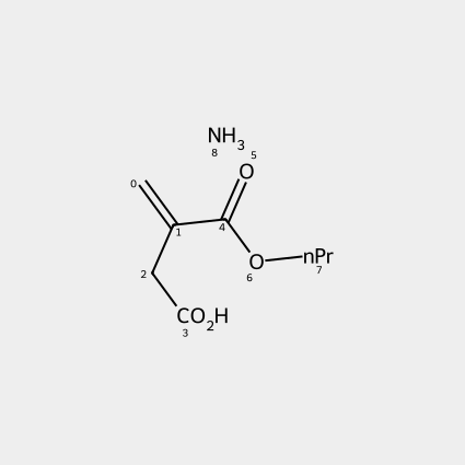 C=C(CC(=O)O)C(=O)OCCC.N